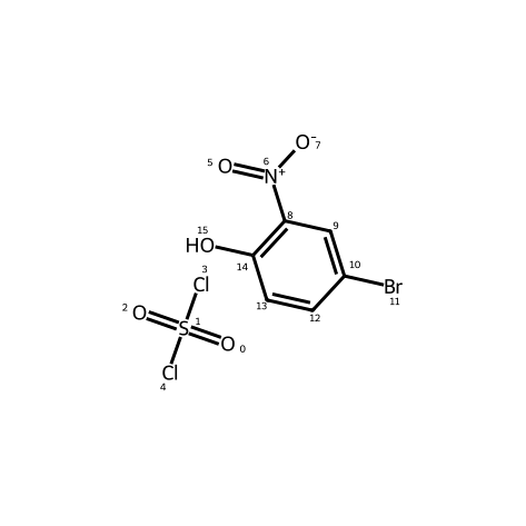 O=S(=O)(Cl)Cl.O=[N+]([O-])c1cc(Br)ccc1O